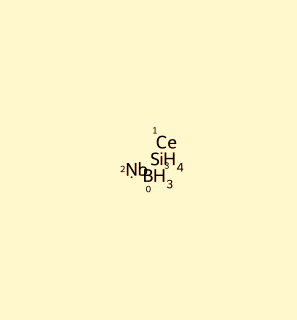 B.[Ce].[Nb].[SiH4]